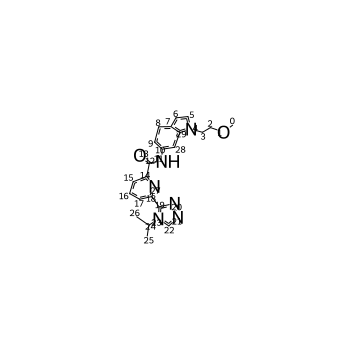 COCCn1ccc2ccc(NC(=O)c3cccc(-c4nncn4C(C)C)n3)cc21